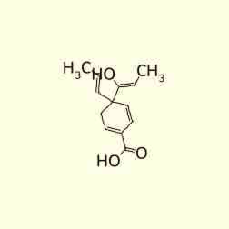 CC=CC1(C(O)=CC)C=CC(C(=O)O)=CC1